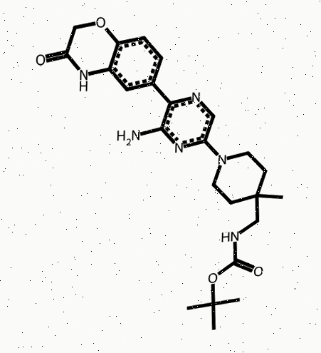 CC1(CNC(=O)OC(C)(C)C)CCN(c2cnc(-c3ccc4c(c3)NC(=O)CO4)c(N)n2)CC1